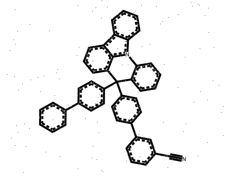 N#Cc1cccc(-c2ccc(C3(c4ccc(-c5ccccc5)cc4)c4ccccc4-n4c5ccccc5c5cccc3c54)cc2)c1